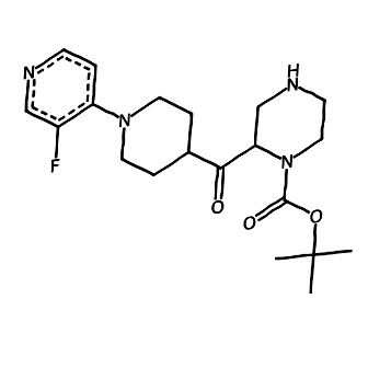 CC(C)(C)OC(=O)N1CCNCC1C(=O)C1CCN(c2ccncc2F)CC1